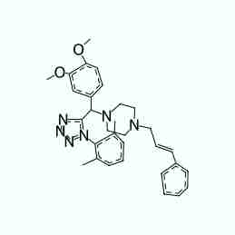 COc1ccc(C(c2nnnn2-c2c(C)cccc2C)N2CCN(CC=Cc3ccccc3)CC2)cc1OC